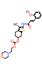 CCOc1ccccc1/C=C/C(=O)Nc1sc2c(c1C#N)CCC(OC(=O)OCCN1CCOCC1)C2